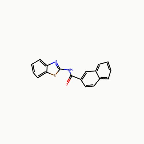 O=C(Nc1nc2ccccc2s1)c1ccc2ccccc2c1